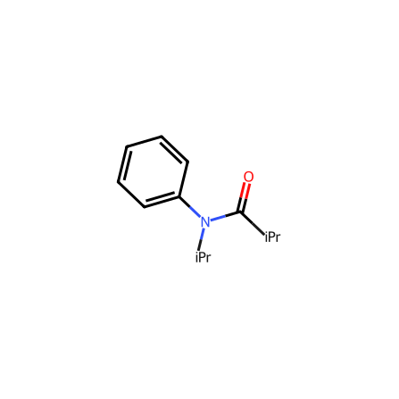 CC(C)C(=O)N(c1ccccc1)C(C)C